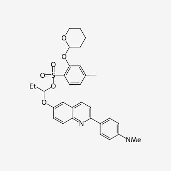 CCC(Oc1ccc2nc(-c3ccc(NC)cc3)ccc2c1)OS(=O)(=O)c1ccc(C)cc1OC1CCCCO1